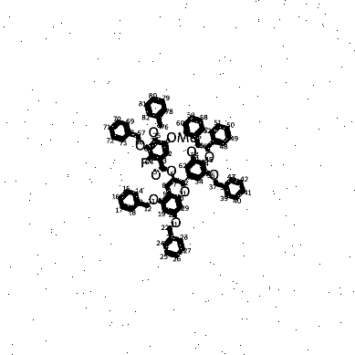 COc1cc(C(=O)O[C@@H]2Cc3c(OCc4ccccc4)cc(OCc4ccccc4)cc3O[C@H]2c2cc(OCc3ccccc3)c(OCc3ccccc3)c(OCc3ccccc3)c2)c(F)c(OCc2ccccc2)c1OCc1ccccc1